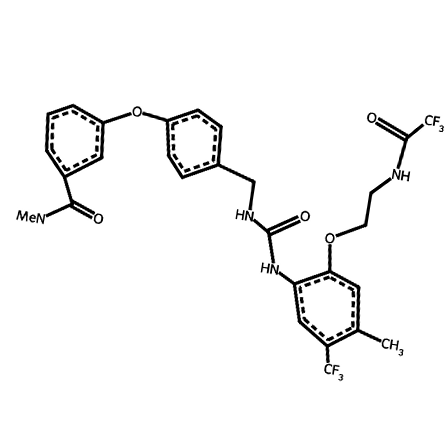 CNC(=O)c1cccc(Oc2ccc(CNC(=O)Nc3cc(C(F)(F)F)c(C)cc3OCCNC(=O)C(F)(F)F)cc2)c1